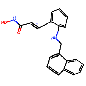 O=C(/C=C/c1ccccc1NCc1cccc2ccccc12)NO